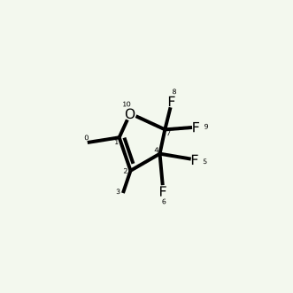 CC1=C(C)C(F)(F)C(F)(F)O1